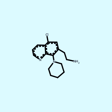 NCCc1cc(Cl)c2cccnc2c1N1CC[CH]CC1